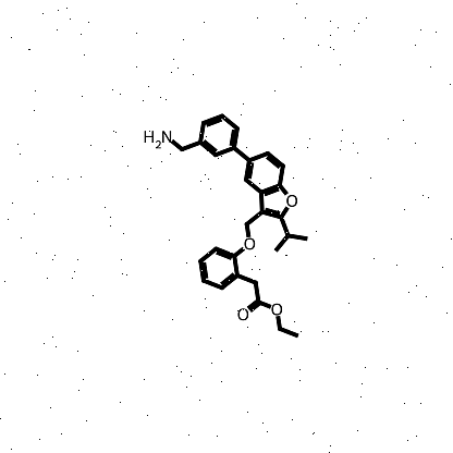 CCOC(=O)Cc1ccccc1OCc1c(C(C)C)oc2ccc(-c3cccc(CN)c3)cc12